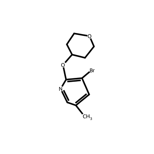 Cc1cnc(OC2CCOCC2)c(Br)c1